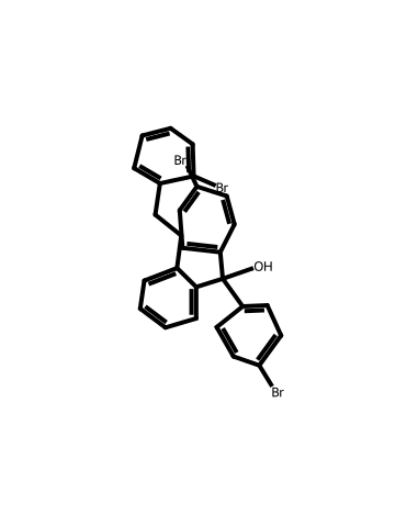 OC(c1ccc(Br)cc1)(c1ccc(Br)cc1)c1ccccc1CCc1ccccc1Br